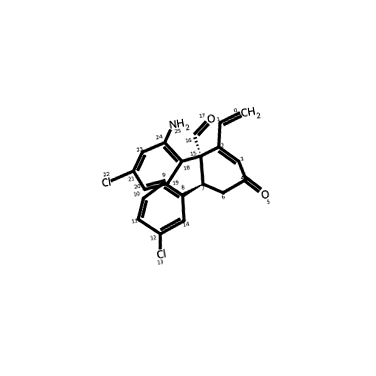 C=CC1=CC(=O)C[C@@H](c2cccc(Cl)c2)[C@@]1(C=O)c1ccc(Cl)cc1N